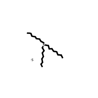 CCCCCCCCN(CCCCCCCC)CCCCCCCC.[S]